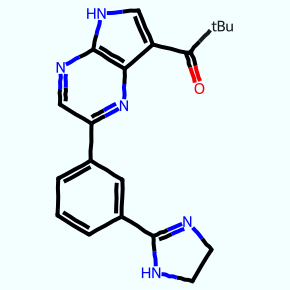 CC(C)(C)C(=O)c1c[nH]c2ncc(-c3cccc(C4=NCCN4)c3)nc12